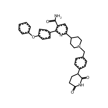 NC(=O)c1ccc(C2CCN(Cc3ccc(C4CCC(=O)NC4=O)cc3)CC2)nc1-c1ccc(Oc2ccccc2)cc1